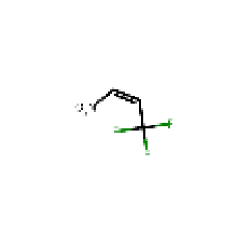 O=[N+]([O-])/C=C\C(F)(F)F